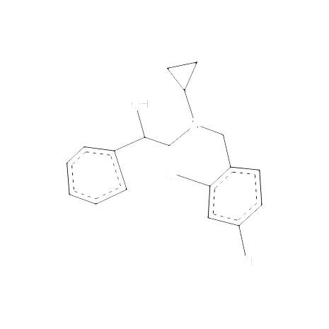 OC(CN(Cc1ccc(Cl)cc1Cl)C1CC1)c1ccccc1